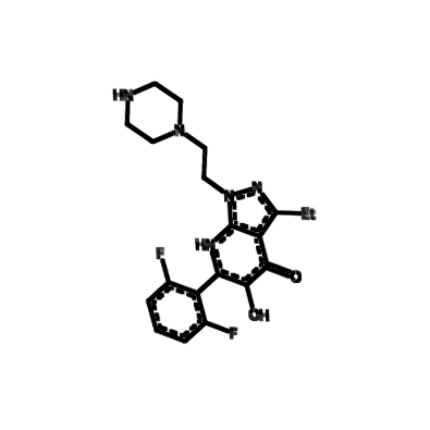 CCc1nn(CCN2CCNCC2)c2[nH]c(-c3c(F)cccc3F)c(O)c(=O)c12